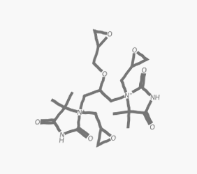 CC1(C)C(=O)NC(=O)[N+]1(CC1CO1)CC(C[N+]1(CC2CO2)C(=O)NC(=O)C1(C)C)OCC1CO1